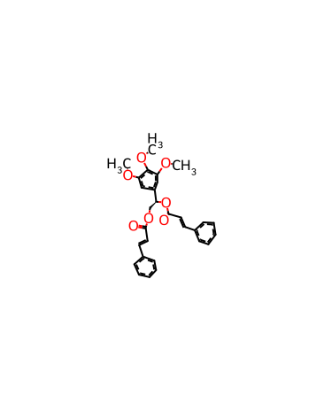 COc1cc([C@H](COC(=O)/C=C/c2ccccc2)OC(=O)/C=C/c2ccccc2)cc(OC)c1OC